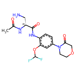 CC(=O)N[C@H](CN)C(=O)Nc1ccc(N2CCOCC2=O)cc1OC(F)F